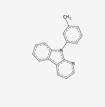 Cc1cccc(-n2c3ccccc3c3cccnc32)c1